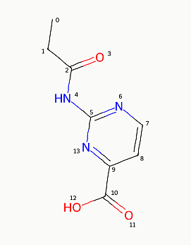 CCC(=O)Nc1nccc(C(=O)O)n1